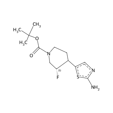 CC(C)(C)OC(=O)N1CCC(c2cnc(N)s2)[C@H](F)C1